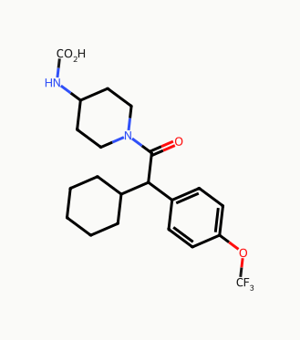 O=C(O)NC1CCN(C(=O)C(c2ccc(OC(F)(F)F)cc2)C2CCCCC2)CC1